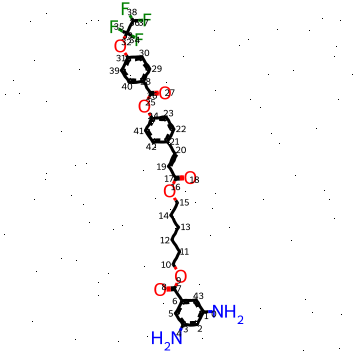 Nc1cc(N)cc(C(=O)OCCCCCCOC(=O)/C=C/c2ccc(OC(=O)c3ccc(OC(F)(F)C(F)F)cc3)cc2)c1